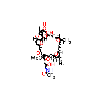 C=C1C[C@@H]2CC[C@@]3(O)C[C@@H](O)[C@@H]4CC5C4O[C@H]4CC[C@H](CC(=O)C[C@@H]6[C@@H](OC)[C@@H](C[C@H](O)CNC(=O)C(F)(F)F)O[C@H]6C[C@H]6O[C@@H](CC[C@@H]1O2)C[C@@H](C)C6=C)O[C@@H]4[C@@H]5O3